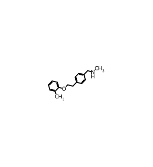 CNCc1ccc(CCOc2ccccc2C)cc1